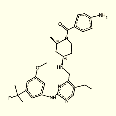 CCc1cnc(Nc2cc(OC)cc(C(C)(C)F)c2)nc1CN[C@@H]1CCN(C(=O)c2ccc(N)cc2)[C@H](C)C1